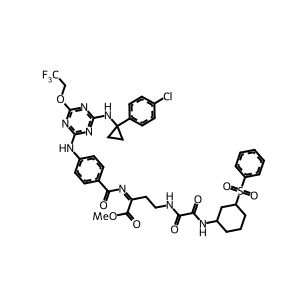 COC(=O)/C(CCNC(=O)C(=O)NC1CCCC(S(=O)(=O)c2ccccc2)C1)=N\C(=O)c1ccc(Nc2nc(NC3(c4ccc(Cl)cc4)CC3)nc(OCC(F)(F)F)n2)cc1